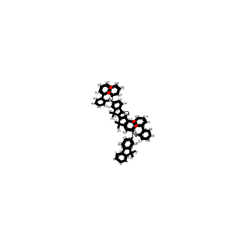 CC1(C)c2ccccc2-c2ccc(N(c3ccc4c(c3)C(C)(C)c3c-4oc4c3C(C)(C)c3cc(N(c5ccccc5)c5ccccc5-c5ccccc5)ccc3-4)c3ccccc3-c3ccccc3)cc21